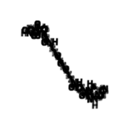 O=C(COc1cccc2c1C(=O)N(C1CCC(=O)NC1=O)C2=O)NCCCCCOCCOCCOCCCCCNC(=O)C1CCC(NC(=O)c2cnc(Nc3ccc4cnccc4n3)cc2NC2CC2)CC1